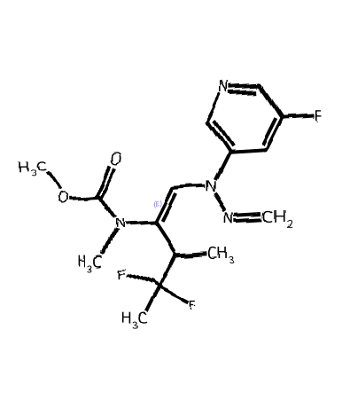 C=NN(/C=C(\C(C)C(C)(F)F)N(C)C(=O)OC)c1cncc(F)c1